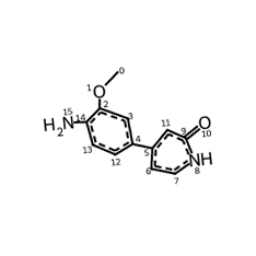 COc1cc(-c2cc[nH]c(=O)c2)ccc1N